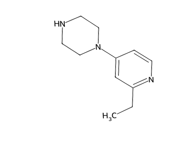 CCc1cc(N2CCNCC2)ccn1